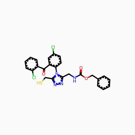 O=C(NCc1nnc(CS)n1-c1ccc(Cl)cc1C(=O)c1ccccc1Cl)OCc1ccccc1